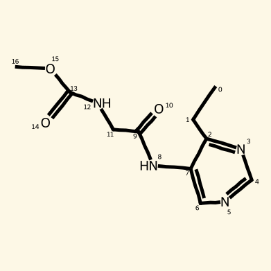 CCc1ncncc1NC(=O)CNC(=O)OC